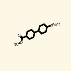 CCCCCC1CCC(C2CCC(C(=O)OC#N)CC2)CC1